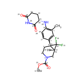 Cc1cc([C@]23CCN(C(=O)OC(C)(C)C)C[C@H]2C3(F)F)ccc1N[C@H]1CCC(=O)NC1=O